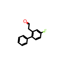 O=CCc1cc(F)ccc1-c1ccccc1